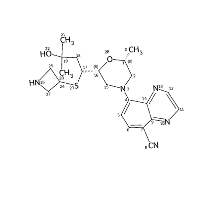 C[C@@H]1CN(c2ccc(C#N)c3nccnc23)C[C@H](C(CC(C)(C)O)SC2CNC2)O1